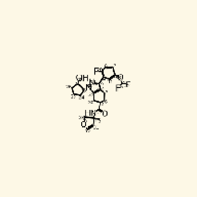 CC1(NC(=O)[C@@H]2CCc3c(-c4cc(OC(F)F)ccc4F)nn([C@@H]4CCC[C@H]4O)c3C2)C=COC1